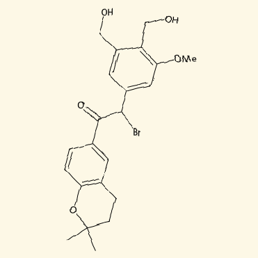 COc1cc(C(Br)C(=O)c2ccc3c(c2)CCC(C)(C)O3)cc(CO)c1CO